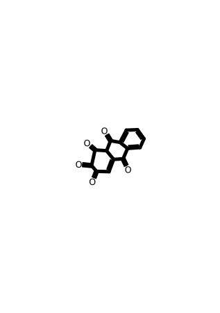 O=C1C=C2C(=O)c3ccccc3C(=O)C2C(=O)C1=O